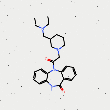 CCN(CC)CC1CCCN(CC(=O)N2c3ccccc3NC(=O)c3ccccc32)C1